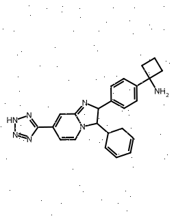 NC1(c2ccc(C3N=C4C=C(c5nn[nH]n5)C=CN4C3C3C=CC=CC3)cc2)CCC1